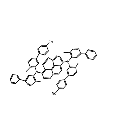 Cc1ccc(-c2ccccc2)cc1N(c1cc(-c2ccc(C#N)cc2)ccc1C)c1ccc2ccc3c(N(c4cc(-c5ccccc5)ccc4C)c4cc(-c5ccc(C#N)cc5)ccc4C)ccc4ccc1c2c43